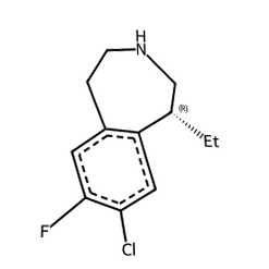 CC[C@H]1CNCCc2cc(F)c(Cl)cc21